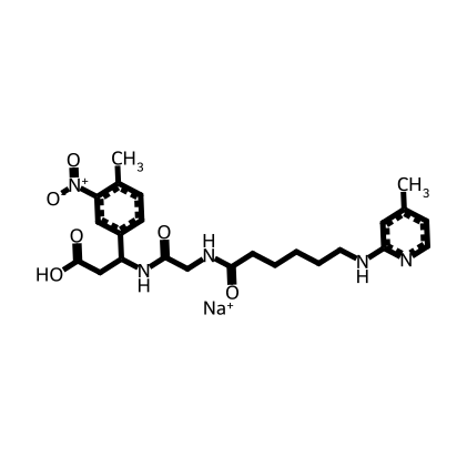 Cc1ccnc(NCCCCCC(=O)NCC(=O)NC(CC(=O)O)c2ccc(C)c([N+](=O)[O-])c2)c1.[Na+]